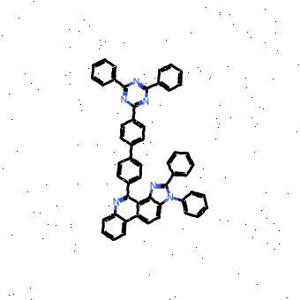 c1ccc(-c2nc(-c3ccccc3)nc(-c3ccc(-c4ccc(-c5nc6ccccc6c6ccc7c(nc(-c8ccccc8)n7-c7ccccc7)c56)cc4)cc3)n2)cc1